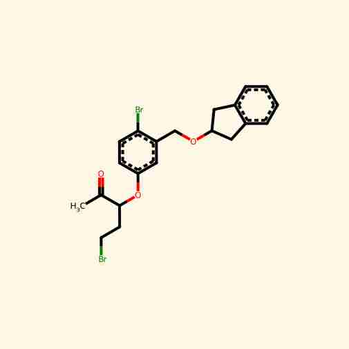 CC(=O)C(CCBr)Oc1ccc(Br)c(COC2Cc3ccccc3C2)c1